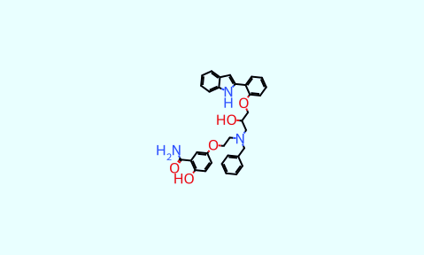 NC(=O)c1cc(OCCN(Cc2ccccc2)CC(O)COc2ccccc2-c2cc3ccccc3[nH]2)ccc1O